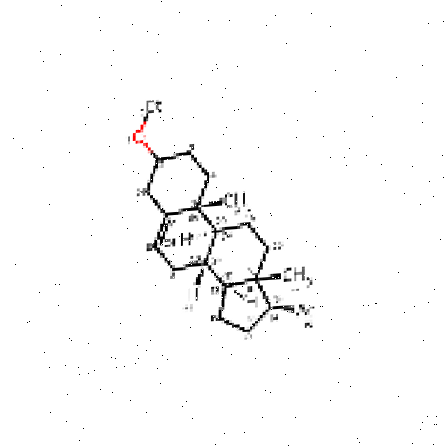 CCOC1CC[C@@]2(C)C(=CC[C@H]3[C@@H]4CC[C@H](C(C)=O)[C@@]4(C)CC[C@@H]32)C1